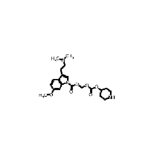 COc1ccc2c(CCN(C)C)cn(C(=O)OCOC(=O)OC3CCNCC3)c2c1